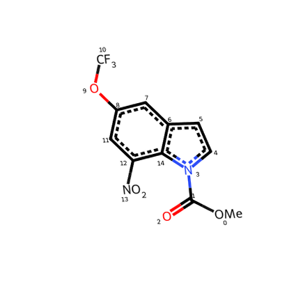 COC(=O)n1ccc2cc(OC(F)(F)F)cc([N+](=O)[O-])c21